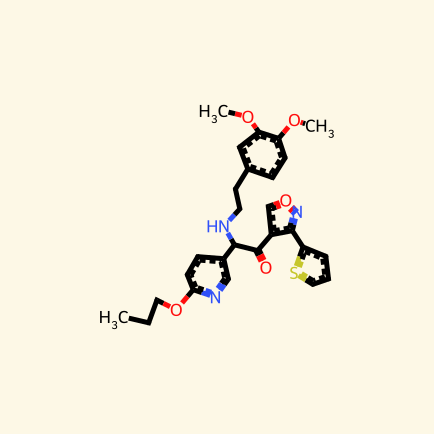 CCCOc1ccc(C(NCCc2ccc(OC)c(OC)c2)C(=O)c2conc2-c2cccs2)cn1